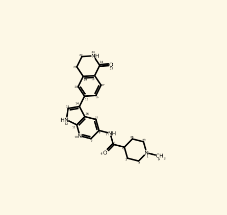 CN1CCC(C(=O)Nc2cnc3[nH]cc(-c4ccc5c(c4)CCNC5=O)c3c2)CC1